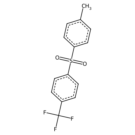 Cc1ccc(S(=O)(=O)c2ccc(C(F)(F)F)cc2)cc1